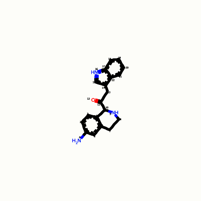 Nc1ccc2c(c1)CCNC2C(=O)Cc1c[nH]c2ccccc12